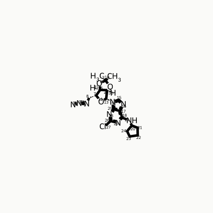 CC1(C)O[C@@H]2[C@H](O1)[C@@H](CN=[N+]=[N-])O[C@H]2n1cnc2c(NC3CCCC3)nc(Cl)nc21